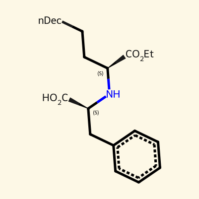 CCCCCCCCCCCC[C@H](N[C@@H](Cc1ccccc1)C(=O)O)C(=O)OCC